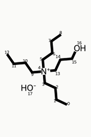 CCCC[N+](CCCC)(CCCC)CCCO.[OH-]